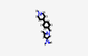 CC1CC(N(C)C)CN1Cc1ccc(C2CCN(C)CC2)cc1